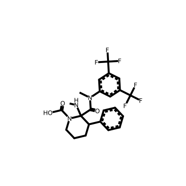 CNC1(C(=O)N(C)c2cc(C(F)(F)F)cc(C(F)(F)F)c2)C(c2ccccc2)CCCN1C(=O)O